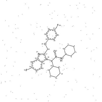 O=C(NC1CCCCC1)C(C1CCCCC1)n1c(COc2ccc(F)cc2)nc2cc(F)ccc21